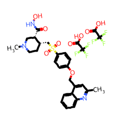 Cc1cc(COc2ccc(S(=O)(=O)C[C@@H]3CCN(C)C[C@@H]3C(=O)NO)cc2)c2ccccc2n1.O=C(O)C(F)(F)F.O=C(O)C(F)(F)F